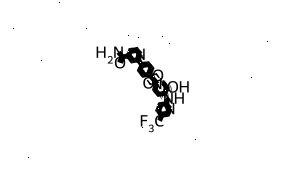 NC(=O)c1ccnc(-c2ccc(S(=O)(=O)N3CC[C@@H](Nc4ccc(C(F)(F)F)cn4)[C@@H](O)C3)cc2)c1